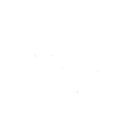 CCOC(=O)COc1ccc(Cl)cc1C(=O)c1cccc(C)c1